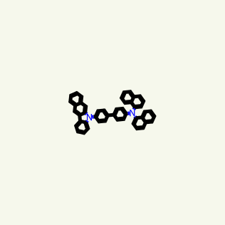 c1ccc2cc3c(cc2c1)c1ccccc1n3-c1ccc(-c2ccc(N(c3cccc4ccccc34)c3cccc4ccccc34)cc2)cc1